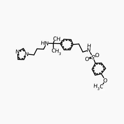 COc1ccc(S(=O)(=O)NCCc2ccc(C(C)(C)NCCCn3ccnc3)cc2)cc1